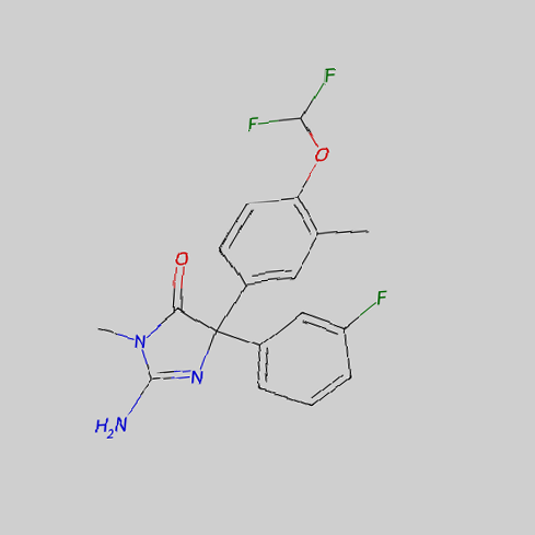 Cc1cc(C2(c3cccc(F)c3)N=C(N)N(C)C2=O)ccc1OC(F)F